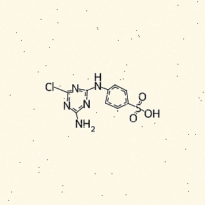 Nc1nc(Cl)nc(Nc2c[c]c(S(=O)(=O)O)cc2)n1